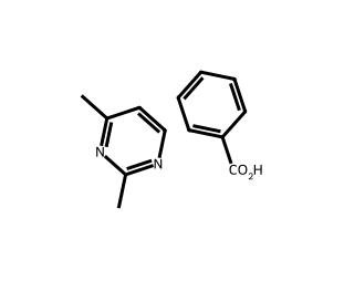 Cc1ccnc(C)n1.O=C(O)c1ccccc1